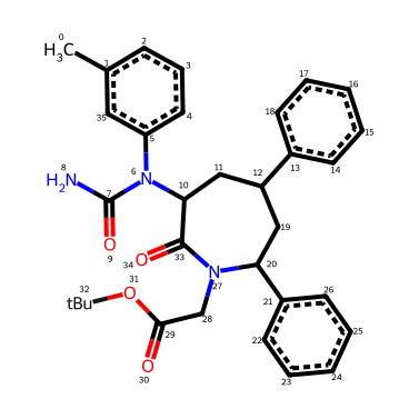 Cc1cccc(N(C(N)=O)C2CC(c3ccccc3)CC(c3ccccc3)N(CC(=O)OC(C)(C)C)C2=O)c1